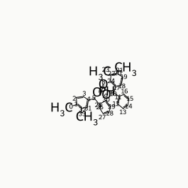 Cc1ccc(C(O[PH](=O)OC(c2ccccc2)c2ccc(C)c(C)c2)c2ccccc2)cc1C